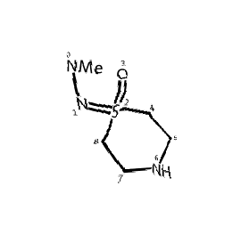 CNN=S1(=O)CCNCC1